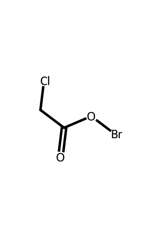 O=C(CCl)OBr